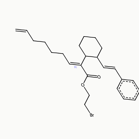 C=CCCCC/C=C(/C(=O)OCCBr)C1CCCCC1C=Cc1ccccc1